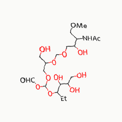 CCC(OC(OC=O)OCC(CO)OCOCC(O)C(COC)NC(C)=O)C(O)C(O)CO